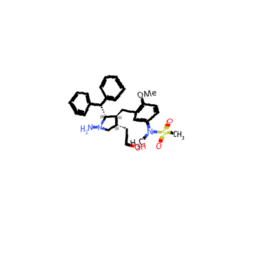 COc1ccc(N(C)S(C)(=O)=O)cc1C[C@H]1[C@H](CCO)CN(N)[C@@H]1C(c1ccccc1)c1ccccc1